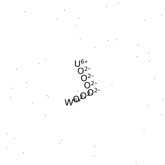 [O-2].[O-2].[O-2].[O-2].[O-2].[O-2].[U+6].[W+6]